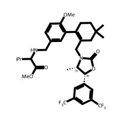 COC(=O)C(NCc1ccc(OC)c(C2=C(CN3C(=O)O[C@H](c4cc(C(F)(F)F)cc(C(F)(F)F)c4)[C@@H]3C)CC(C)(C)CC2)c1)C(C)C